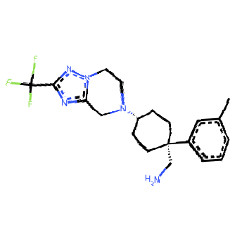 Cc1cccc([C@]2(CN)CC[C@@H](N3CCn4nc(C(F)(F)F)nc4C3)CC2)c1